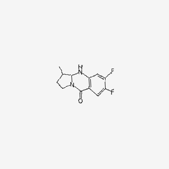 CC1CCN2C(=O)c3cc(F)c(F)cc3NC12